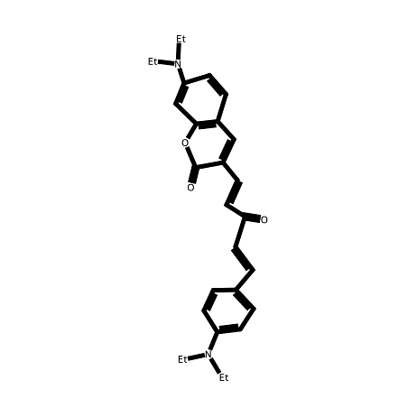 CCN(CC)c1ccc(C=CC(=O)C=Cc2cc3ccc(N(CC)CC)cc3oc2=O)cc1